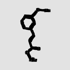 CCCCOC(=O)/C=C/c1cccc(OC(C)CC)c1